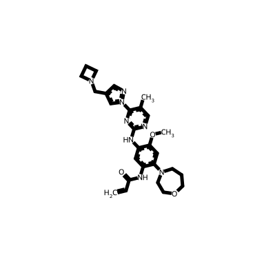 C=CC(=O)Nc1cc(Nc2ncc(C)c(-n3cc(CN4CCC4)cn3)n2)c(OC)cc1N1CCCOCC1